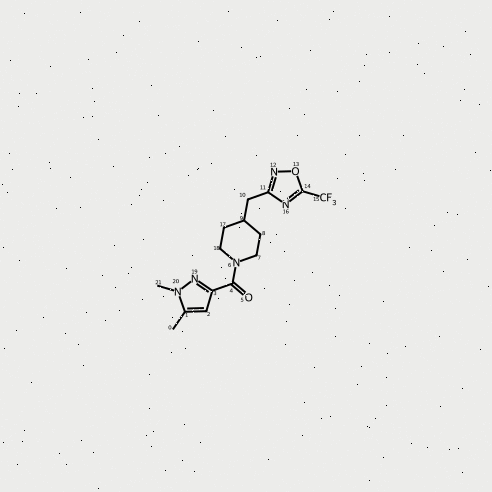 Cc1cc(C(=O)N2CCC(Cc3noc(C(F)(F)F)n3)CC2)nn1C